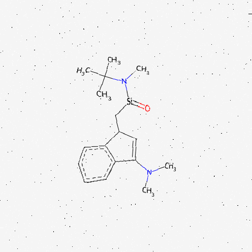 CN(C)C1=CC(C[Si](=O)N(C)C(C)(C)C)c2ccccc21